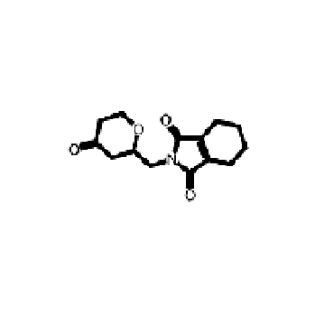 O=C1CCOC(CN2C(=O)C3=C(CCCC3)C2=O)C1